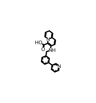 O=C(O)C1=C(NCc2cccc(-c3cccnc3)c2)C=CC2=CCC=CN21